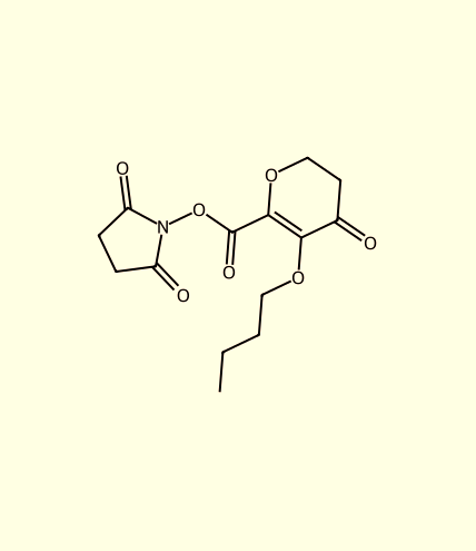 CCCCOC1=C(C(=O)ON2C(=O)CCC2=O)OCCC1=O